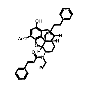 CC(=O)Oc1cc(O)c2c3c1O[C@H]1[C@@H](N(CC(C)C)C(=O)C=Cc4ccccc4)CC[C@H]4[C@@H](C2)N(CCc2ccccc2)CC[C@@]341